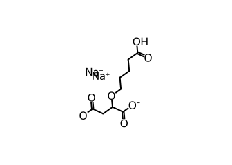 O=C([O-])CC(OCCCCC(=O)O)C(=O)[O-].[Na+].[Na+]